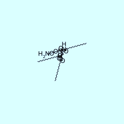 CCCCCCCCCCCCCCCC(=O)N[C@@H](CSCC(COC(=O)CCCCCCCCCCCCCCC)OC(=O)CCCCCCCCCCCCCCC)C(=O)NCCOCCOCCN